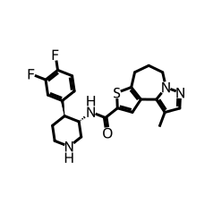 Cc1cnn2c1-c1cc(C(=O)N[C@@H]3CNCC[C@H]3c3ccc(F)c(F)c3)sc1CCC2